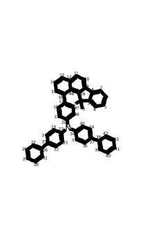 CC1(C)c2ccccc2-c2ccc3cccc(-c4ccc(N(c5ccc(-c6ccccc6)cc5)c5ccc(-c6ccccc6)cc5)cc4)c3c21